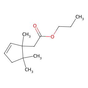 CCCOC(=O)CC1(C)C=CCC1(C)C